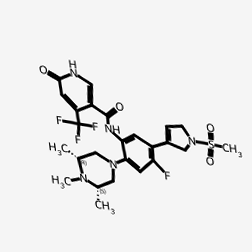 C[C@@H]1CN(c2cc(F)c(C3=CCN(S(C)(=O)=O)C3)cc2NC(=O)c2c[nH]c(=O)cc2C(F)(F)F)C[C@H](C)N1C